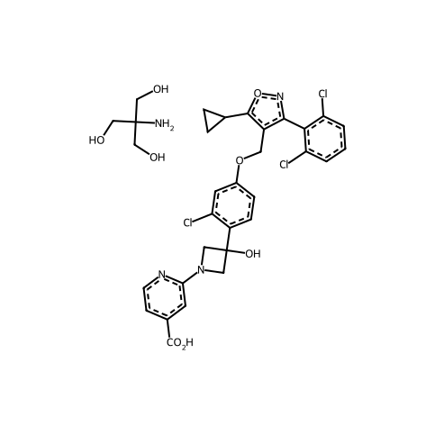 NC(CO)(CO)CO.O=C(O)c1ccnc(N2CC(O)(c3ccc(OCc4c(-c5c(Cl)cccc5Cl)noc4C4CC4)cc3Cl)C2)c1